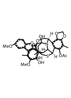 COc1ccc2oc3c(c2c1)CCN[C@]31CS[C@@H]2c3c(OC(C)=O)c(C)c4c(c3[C@H](COC1=O)N1[C@@H]2C2c3c(cc(C)c(OC)c3O)CC1(O)CN2C)OCO4